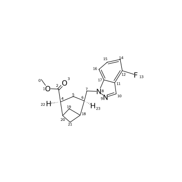 COC(=O)[C@H]1C[C@@H](Cn2ncc3c(F)cccc32)C2CC1C2